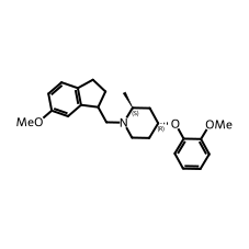 COc1ccc2c(c1)C(CN1CC[C@@H](Oc3ccccc3OC)C[C@@H]1C)CC2